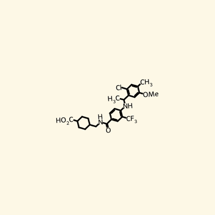 COc1cc(C(C)Nc2ccc(C(=O)NCC3CCC(C(=O)O)CC3)cc2C(F)(F)F)c(Cl)cc1C